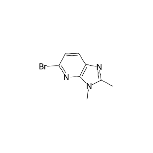 Cc1nc2ccc(Br)nc2n1C